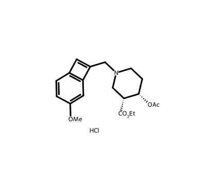 CCOC(=O)[C@@H]1CN(CC2=Cc3ccc(OC)cc32)CC[C@@H]1OC(C)=O.Cl